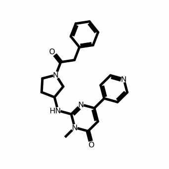 Cn1c(NC2CCN(C(=O)Cc3ccccc3)C2)nc(-c2ccncc2)cc1=O